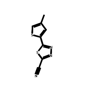 Cc1csc(-c2nnc(C#N)s2)c1